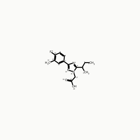 CCC(C)c1nc(-c2ccc(F)c(C)c2)nn1CC(=O)O